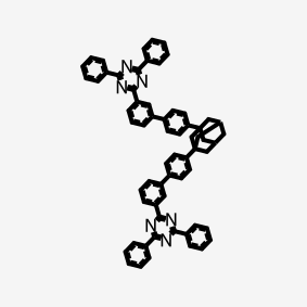 c1ccc(-c2nc(-c3ccccc3)nc(-c3cccc(-c4ccc(C56CC7CC(C5)CC(c5ccc(-c8cccc(-c9nc(-c%10ccccc%10)nc(-c%10ccccc%10)n9)c8)cc5)(C7)C6)cc4)c3)n2)cc1